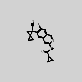 N#C[C@]1(c2cc3cc(NC(=O)C4CC4)ncc3cc2F)CC12CC2